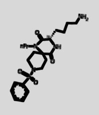 CCCN1C(=O)[C@H](CCCCN)NC(=O)C12CCN(S(=O)(=O)c1ccccc1)CC2